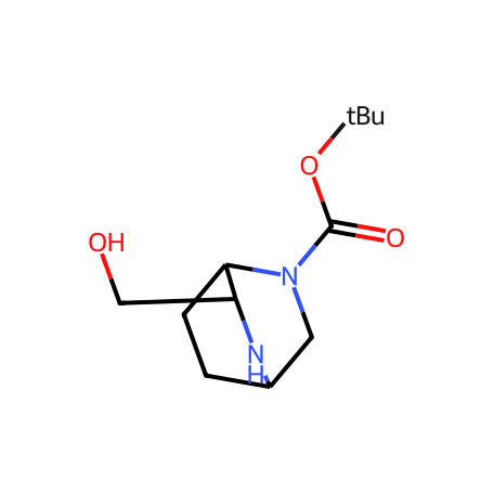 CC(C)(C)OC(=O)N1CC2CCC1C(CO)N2